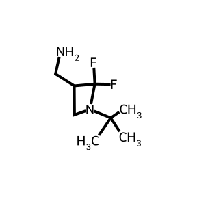 CC(C)(C)N1CC(CN)C1(F)F